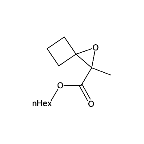 CCCCCCOC(=O)C1(C)OC12CCC2